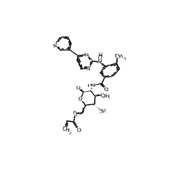 C=CC(=O)OCC1OC(=O)[C@H](NC(=O)c2ccc(C)c(Nc3nccc(-c4cccnc4)n3)c2)C(O)[C@@H]1O